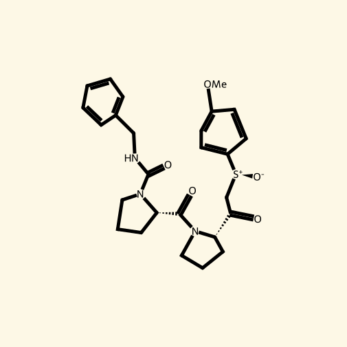 COc1ccc([S@@+]([O-])CC(=O)[C@@H]2CCCN2C(=O)[C@@H]2CCCN2C(=O)NCc2ccccc2)cc1